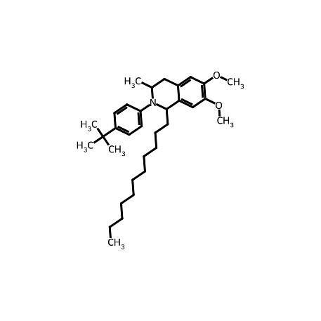 CCCCCCCCCCCC1c2cc(OC)c(OC)cc2CC(C)N1c1ccc(C(C)(C)C)cc1